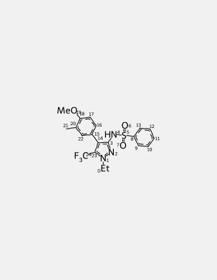 CCn1nc(NS(=O)(=O)c2ccccc2)c(-c2ccc(OC)c(C)c2)c1C(F)(F)F